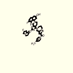 CCc1c(F)ccc2cc(O)cc(N3CCc4c(nc(OC[C@@]56CCCN5C[C@H](F)C6)nc4N4CCCn5nc(C(=O)N6CC7CCC6CN7C)cc5C4)C3)c12